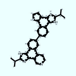 CC(C)c1nc2c3cnccc3c3cc(-c4ccc5c(c4)c4sccc4c4nc(C(C)C)[nH]c54)ccc3c2[nH]1